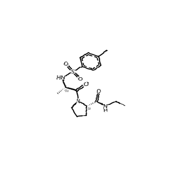 CCNC(=O)[C@@H]1CCCN1C(=O)[C@H](C)NS(=O)(=O)c1ccc(C)cc1